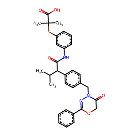 CC(C)C(C(=O)Nc1cccc(SC(C)(C)C(=O)O)c1)c1ccc(CN2N=C(c3ccccc3)OCC2=O)cc1